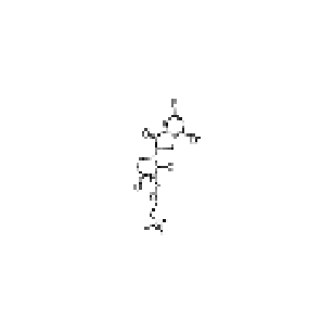 C[Si](C)(C)CCOCN1C(=O)CCC(N2Cc3c(Br)cc(F)cc3C2=O)C1=O